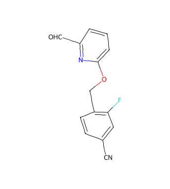 N#Cc1ccc(COc2cccc(C=O)n2)c(F)c1